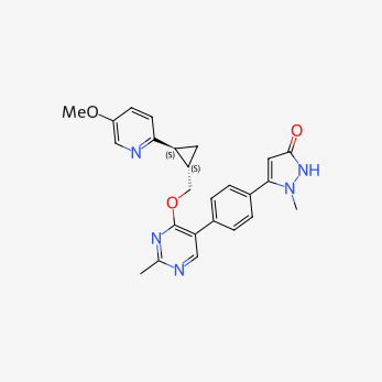 COc1ccc([C@H]2C[C@@H]2COc2nc(C)ncc2-c2ccc(-c3cc(=O)[nH]n3C)cc2)nc1